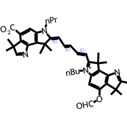 CCCC[N+]1=C(/C=C/C=C/C=C2/N(CCC)c3cc(C(=O)O)c4c(c3C2(C)C)N=CC4(C)C)C(C)(C)c2c1cc(OC=O)c1c2N=C(C)C1(C)C